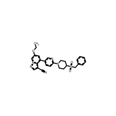 CCOc1cc(-c2ccc(N3CCC(S(=O)(=O)Cc4ccccc4)CC3)nc2)c2c(C#N)cnn2c1